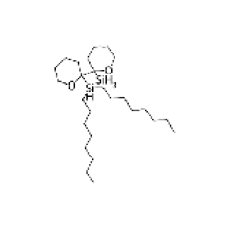 CCCCCCCC[SiH](CCCCCCCC)C1(C2([SiH3])CCCCO2)CCCCO1